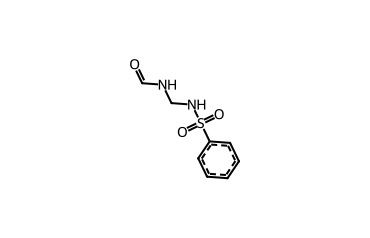 O=CNCNS(=O)(=O)c1ccccc1